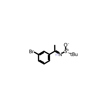 C/C(=N\[S@+]([O-])C(C)(C)C)c1cccc(Br)c1